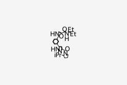 CCC(CC)NC(=O)C1=CNC(c2cccc(-c3cc(C(=O)N4CCCC4C(C)C)n[nH]3)c2)O1